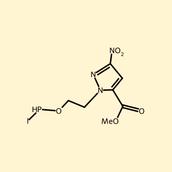 COC(=O)c1cc([N+](=O)[O-])nn1CCOPI